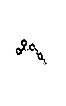 OCc1ccc(CCN2CCC[C@@H](OC(c3ccccc3)c3ccccc3)C2)cc1